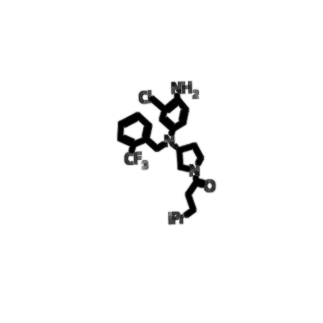 CC(C)CCC(=O)N1CC[C@H](N(Cc2ccccc2C(F)(F)F)c2ccc(N)c(Cl)c2)C1